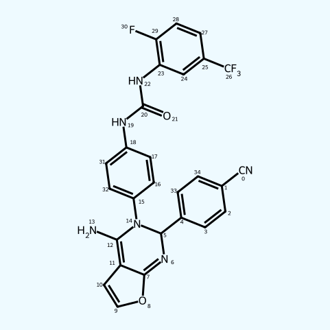 N#Cc1ccc(C2N=c3occc3=C(N)N2c2ccc(NC(=O)Nc3cc(C(F)(F)F)ccc3F)cc2)cc1